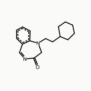 O=C1CN(CCC2CCCCC2)c2ccccc2C=N1